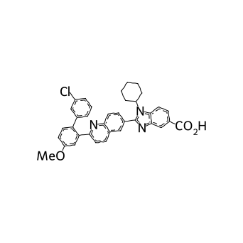 COc1ccc(-c2cccc(Cl)c2)c(-c2ccc3cc(-c4nc5cc(C(=O)O)ccc5n4C4CCCCC4)ccc3n2)c1